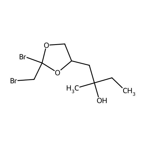 CCC(C)(O)CC1COC(Br)(CBr)O1